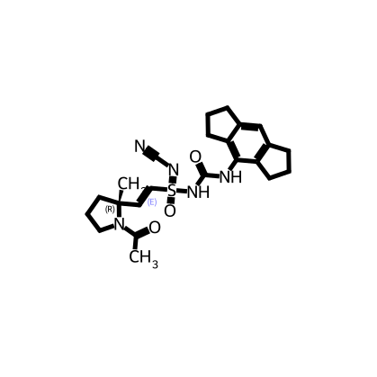 CC(=O)N1CCC[C@]1(C)/C=C/S(=O)(=NC#N)NC(=O)Nc1c2c(cc3c1CCC3)CCC2